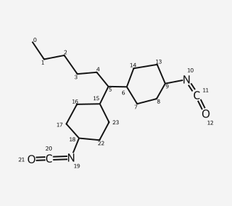 CCCCCC(C1CCC(N=C=O)CC1)C1CCC(N=C=O)CC1